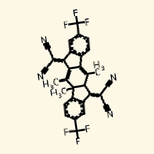 CC1=C2C(=C(C)C3(C)c4ccc(C(F)(F)F)cc4C(=C(C#N)C#N)C13)C(=C(C#N)C#N)c1cc(C(F)(F)F)ccc12